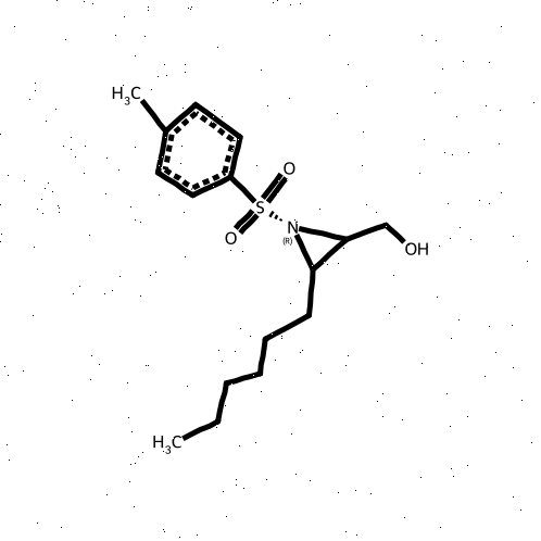 CCCCCCC1C(CO)[N@@]1S(=O)(=O)c1ccc(C)cc1